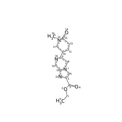 CCOC(=O)c1cn2cc(-c3ccc(=O)n(C)c3)ncc2n1